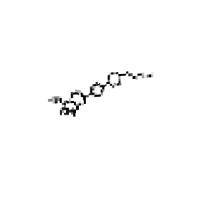 CCCCCC1CCC(c2ccc(-c3ccc(B(O)O)c(F)c3)cc2)CC1